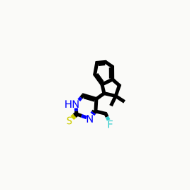 CC1(C)Cc2ccccc2C1c1c[nH]c(=S)nc1CF